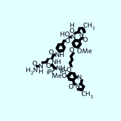 COc1cc2c(cc1OCCCCCOc1cc3c(cc1OC)C(=O)N1C=C(C)CC1C(O)N3C(O)OCc1ccc(NC(=O)[C@H](CCCNC(N)=O)NC(=O)[C@@H](NC(C)C)C(C)C)cc1)N=CC1CC(C)=CN1C2=O